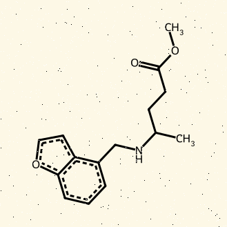 COC(=O)CCC(C)NCc1cccc2occc12